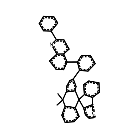 CC1(C)c2ccccc2C2(c3ccccc3-c3ccccc32)c2cc(-c3ccccc3-c3cccc4nc(-c5ccccc5)ccc34)ccc21